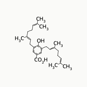 CC(C)=CCC/C(C)=C/Cc1cc(C(=O)O)cc(C/C=C(\C)CCC=C(C)C)c1O